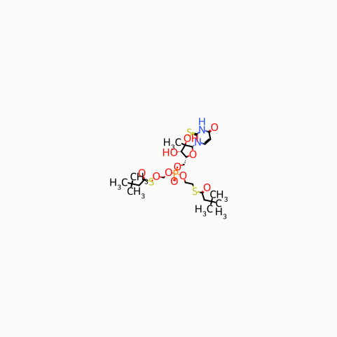 CC(C)(C)CC(=O)SCCOP(=O)(OCOSC(=O)CC(C)(C)C)OC[C@H]1O[C@@H](n2ccc(=O)[nH]c2=S)C(C)(O)[C@H]1O